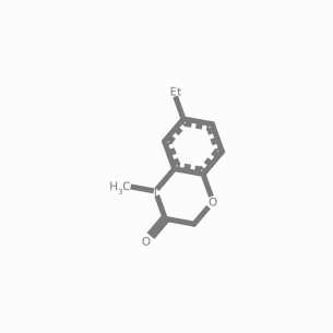 CCc1ccc2c(c1)I(C)C(=O)CO2